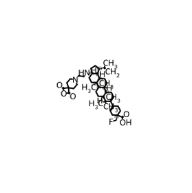 C=C(C)[C@@H]1CC[C@]2(NCCN3CCC4(CC3)C(=O)OC4=O)CC[C@]3(C)[C@H](CC[C@@H]4[C@@]5(C)CC=C(C6=CC[C@@](CF)(C(=O)O)CC6)C(C)(C)[C@@H]5CC[C@]43C)[C@@H]12